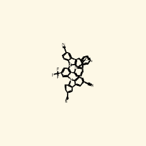 Cc1ccc2c(c1)c1cc(C#N)ccc1n2-c1cc(C(F)(F)F)cc(-n2c3ccc(C#N)cc3c3cc(C#N)ccc32)c1-c1cccc(-c2ccccc2)n1